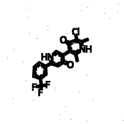 Cc1[nH]c(C)c(-c2c[nH]c(-c3cccc(C(F)(F)F)c3)cc2=O)c(=O)c1Cl